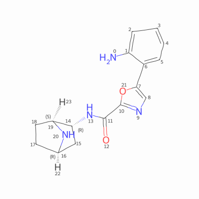 Nc1ccccc1-c1cnc(C(=O)N[C@@H]2C[C@H]3CC[C@@H]2N3)o1